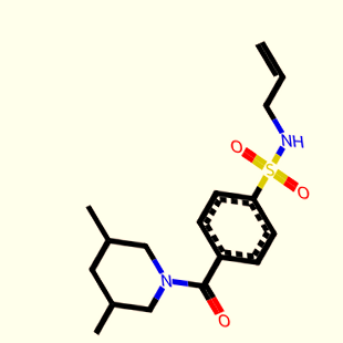 C=CCNS(=O)(=O)c1ccc(C(=O)N2CC(C)CC(C)C2)cc1